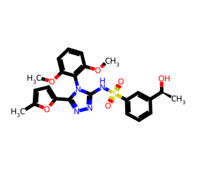 COc1cccc(OC)c1-n1c(NS(=O)(=O)c2cccc([C@H](C)O)c2)nnc1-c1ccc(C)o1